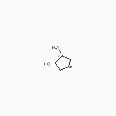 Cl.N[C@H]1CC[Se]C1